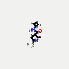 Cc1nc(C(F)(F)F)ccc1C(=O)NC1CCC1